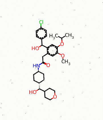 COc1cc(CC(=O)N[C@H]2CC[C@H](C(O)C3CCOCC3)CC2)c(C(O)c2ccc(Cl)cc2)cc1OC(C)C